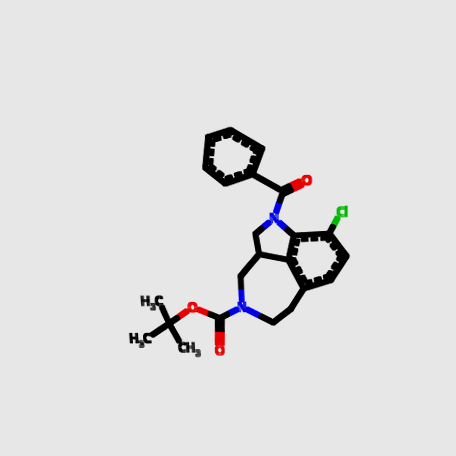 CC(C)(C)OC(=O)N1CCc2ccc(Cl)c3c2C(C1)CN3C(=O)c1ccccc1